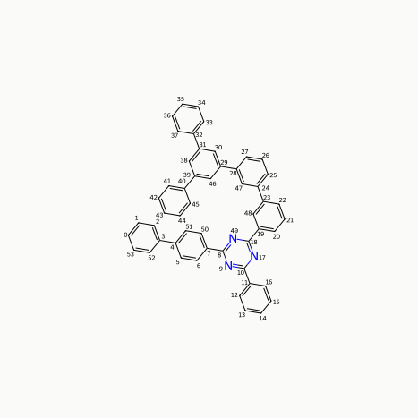 c1ccc(-c2ccc(-c3nc(-c4ccccc4)nc(-c4cccc(-c5cccc(-c6cc(-c7ccccc7)cc(-c7ccccc7)c6)c5)c4)n3)cc2)cc1